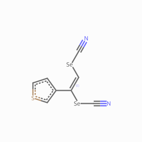 N#C[Se]/C=C(/[Se]C#N)c1ccsc1